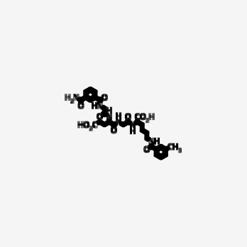 Cc1cccc(C(=O)NCCCCC(NC(=O)CNC(=O)C(CCC(=O)O)NC(=O)CNC(=O)c2cccc(C(N)=O)c2)C(=O)O)c1